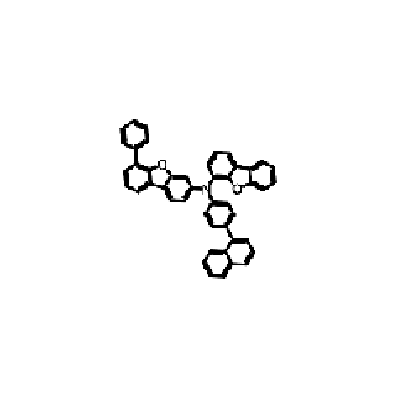 c1ccc(-c2cccc3c2oc2cc(N(c4ccc(-c5cccc6ccccc56)cc4)c4cccc5c4oc4ccccc45)ccc23)cc1